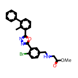 COC(=O)CNCc1ccc(Br)c(-c2nnc(-c3cccc(-c4ccccc4)c3C)o2)c1